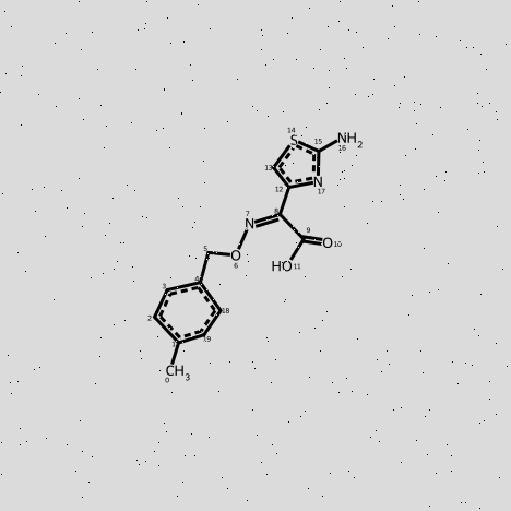 Cc1ccc(CON=C(C(=O)O)c2csc(N)n2)cc1